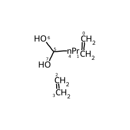 C=C.C=C.CCCC(O)O